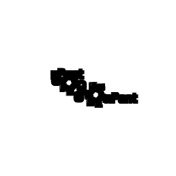 CCCCCOC1CCC(OC(=O)C2CCC(CCCCC)CC2)CC1